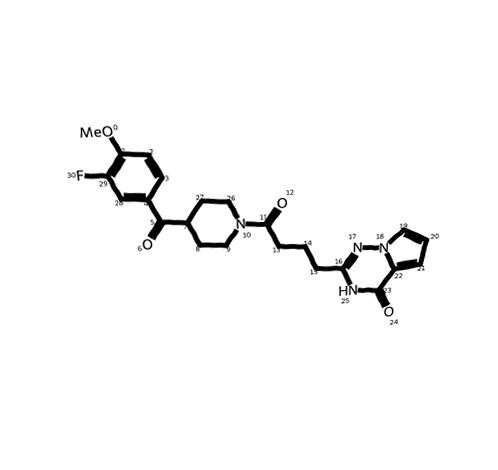 COc1ccc(C(=O)C2CCN(C(=O)CCCc3nn4cccc4c(=O)[nH]3)CC2)cc1F